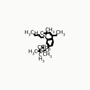 CCCCN1c2cc(O[Si](C)(C)C(C)(C)C)ccc2C(CC)=CC1(C)C